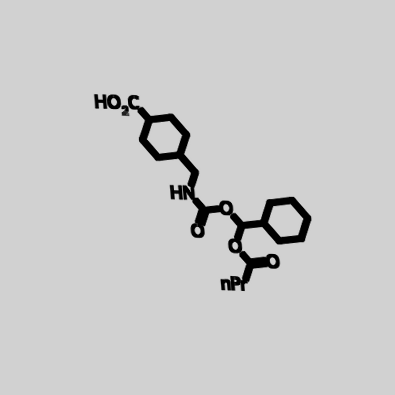 CCCC(=O)OC(OC(=O)NCC1CCC(C(=O)O)CC1)C1CCCCC1